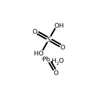 O.O=S(=O)(O)O.[O]=[Pb]